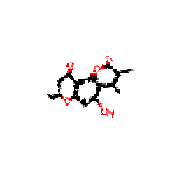 Cc1c(C)c2c(O)cc3c(c2oc1=O)C(=O)CC(C)O3